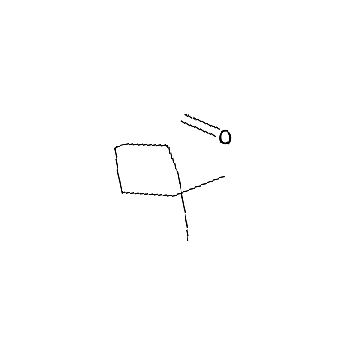 C=O.CC1(C)CCC1